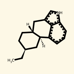 CC[C@H]1CC[C@@H]2Cc3c[nH]c4cccc(c34)[C@H]2C1